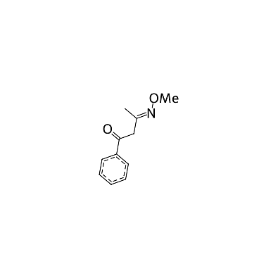 CO/N=C(\C)CC(=O)c1ccccc1